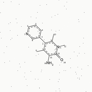 Cc1c(-c2cccnc2)c(C)n(C)c(=O)c1N